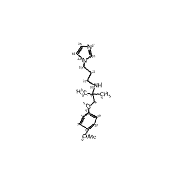 COc1ccc(OCC(C)(C)NCCCn2ccnc2)cc1